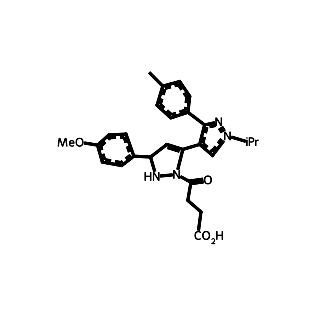 COc1ccc(C2C=C(c3cn(C(C)C)nc3-c3ccc(C)cc3)N(C(=O)CCC(=O)O)N2)cc1